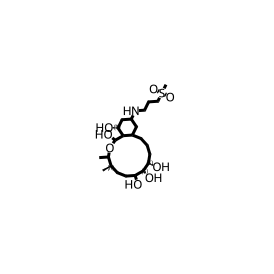 CC1OC(O)C2C(CCC[C@H](O)[C@H](O)C(O)CC[C@H]1C)CC(NCCCS(C)(=O)=O)C[C@H]2O